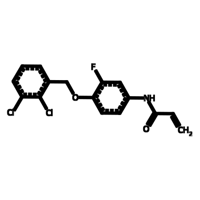 C=CC(=O)Nc1ccc(OCc2cccc(Cl)c2Cl)c(F)c1